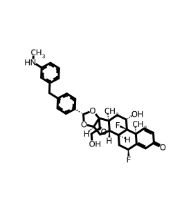 CNc1cccc(Cc2ccc([C@H]3O[C@@H]4C[C@H]5[C@@H]6C[C@H](F)C7=CC(=O)C=C[C@]7(C)[C@@]6(F)[C@@H](O)C[C@]5(C)C4(C(=O)CO)O3)cc2)c1